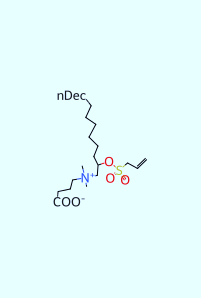 C=CCS(=O)(=O)OC(CCCCCCCCCCCCCCCC)C[N+](C)(C)CCCC(=O)[O-]